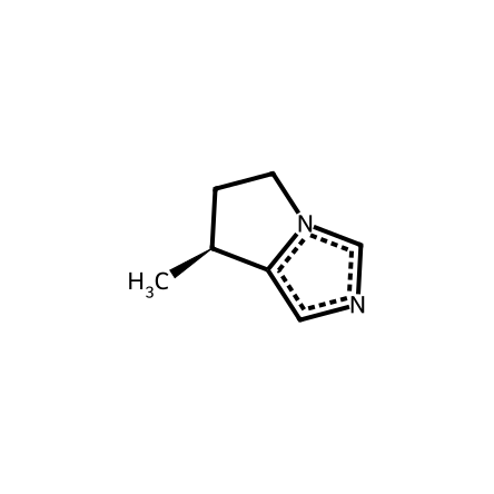 C[C@H]1CCn2cncc21